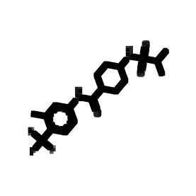 Cc1cc(NC(=O)C2CCC(NS(=O)(=O)C(C)C)CC2)ccc1C(F)(F)F